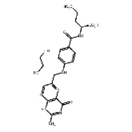 Nc1nc(=O)c2nc(CNc3ccc(C(=O)N[C@@H](CCC(=O)O)C(=O)O)cc3)cnc2[nH]1.OCCO